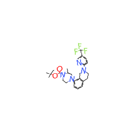 CC1CN(c2cccc3c2CN(c2ccc(C(F)(F)F)cn2)CC3)CCN1C(=O)OC(C)(C)C